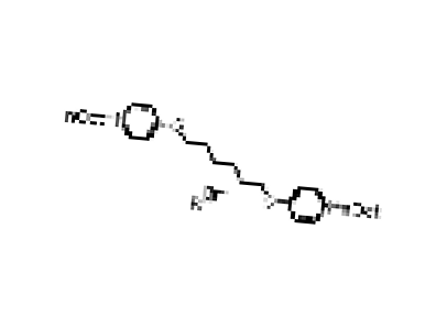 CCCCCCCC[n+]1ccc(SCCCCCCSc2cc[n+](CCCCCCCC)cc2)cc1.[Br-].[Br-]